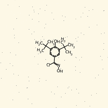 CC(C)(C)c1cc(/C(Cl)=N/O)cc(C(C)(C)C)c1O